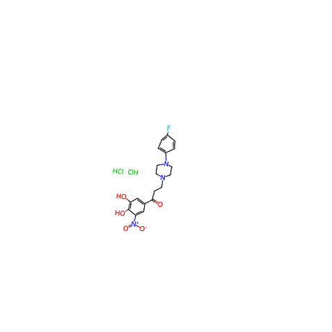 Cl.Cl.O=C(CCN1CCN(c2ccc(F)cc2)CC1)c1cc(O)c(O)c([N+](=O)[O-])c1